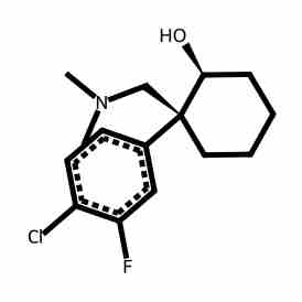 CN(C)C[C@]1(c2ccc(Cl)c(F)c2)CCCC[C@@H]1O